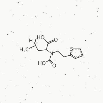 CC(C)CC(C(=O)O)N(CCc1cccs1)C(=O)O